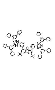 Cn1c2c(-c3cccc(-c4nc(-c5cc(-c6ccccc6)cc(-c6ccccc6)c5)nc(-c5cc(-c6ccccc6)cc(-c6ccccc6)c5)n4)c3)cc(C(C)(C)C)cc2c2cc(C(C)(C)C)cc(-c3cccc(-c4nc(-c5cc(-c6ccccc6)cc(-c6ccccc6)c5)nc(-c5cc(-c6ccccc6)cc(-c6ccccc6)c5)n4)c3)c21